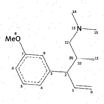 C=CC(c1cccc(OC)c1)[C@@H](C)CN(C)C